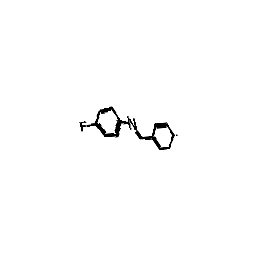 Fc1ccc(/N=C/C2=CC[CH]C=C2)cc1